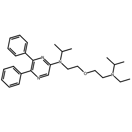 CCN(CCOCCN(c1cnc(-c2ccccc2)c(-c2ccccc2)n1)C(C)C)C(C)C